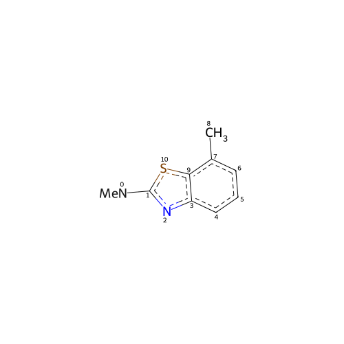 CNc1nc2cccc(C)c2s1